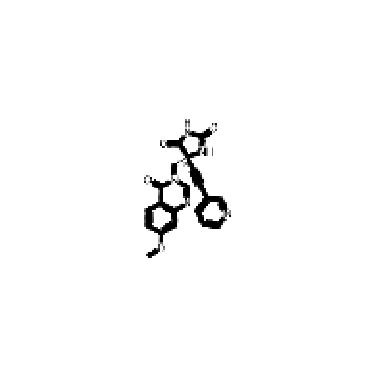 COc1ccc2c(=O)n(C[C@@]3(C#Cc4cccnc4)NC(=O)NC3=O)cnc2c1